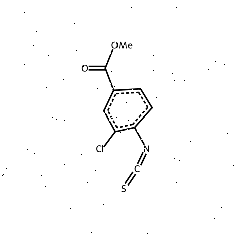 COC(=O)c1ccc(N=C=S)c(Cl)c1